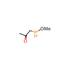 COPCC(C)=O